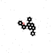 C1=CC(c2ccc3ccc4c(-c5ccccc5)cc(-c5cccc6c5oc5ccccc56)c5ccc2c3c45)=CCC1